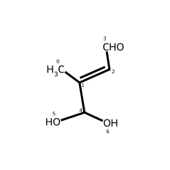 C/C(=C\C=O)C(O)O